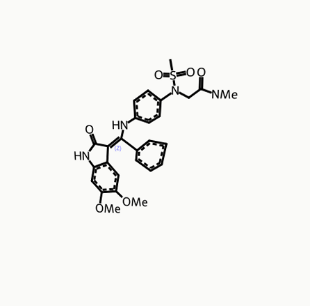 CNC(=O)CN(c1ccc(N/C(=C2\C(=O)Nc3cc(OC)c(OC)cc32)c2ccccc2)cc1)S(C)(=O)=O